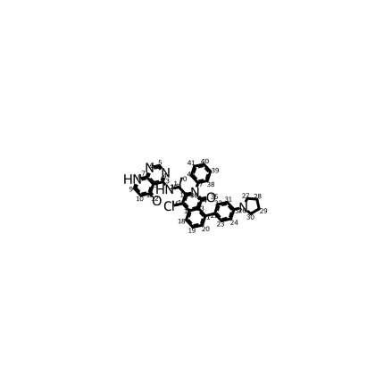 C[C@H](Nc1ncnc2[nH]ccc(=O)c12)c1c(Cl)c2cccc(-c3ccc(N4CCCC4)cc3)c2c(=O)n1-c1ccccc1